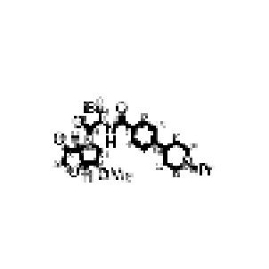 CC[C@H](C)[C@H](NC(=O)c1ccc(C2CCN(C(C)C)CC2)cc1)C(=O)N1C[C@@H](OC)[C@H]2OCC(=O)[C@H]21